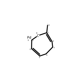 [CH2]C1=CCCC=CCC1.[Pd]